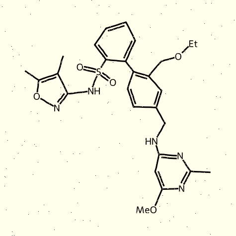 CCOCc1cc(CNc2cc(OC)nc(C)n2)ccc1-c1ccccc1S(=O)(=O)Nc1noc(C)c1C